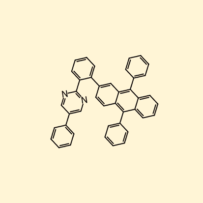 c1ccc(-c2cnc(-c3ccccc3-c3ccc4c(-c5ccccc5)c5ccccc5c(-c5ccccc5)c4c3)nc2)cc1